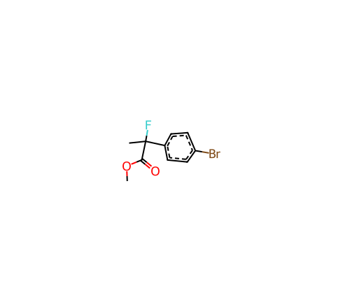 COC(=O)C(C)(F)c1ccc(Br)cc1